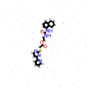 O=C(NCCOC(=O)CSc1nccc(-c2ccccn2)n1)Nc1cccc2c1CCCC2